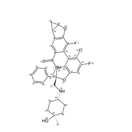 CNC(=O)c1cc2c(c(F)c1-c1c(Cl)c(F)cc3c1C[C@@](CN[C@H]1CC[C@](C)(O)CC1)(c1ccccc1)O3)OC1CC21